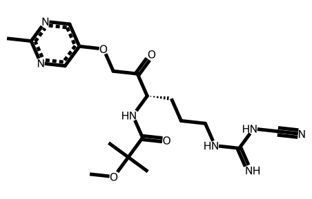 COC(C)(C)C(=O)N[C@@H](CCCNC(=N)NC#N)C(=O)COc1cnc(C)nc1